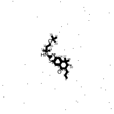 CCCC1C(=O)c2cc3sc(NC(C)(C)CCOC(C)(C)C)nc3cc2C(C)(C)[C@H]1C